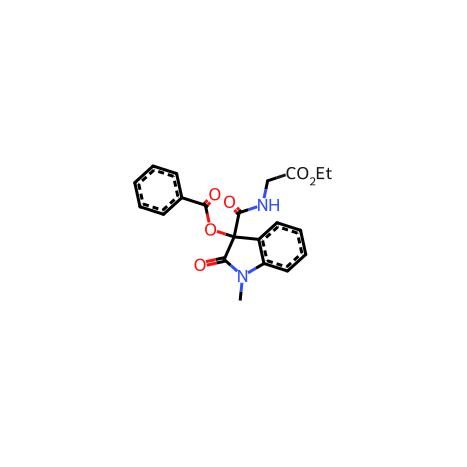 CCOC(=O)CNC(=O)C1(OC(=O)c2ccccc2)C(=O)N(C)c2ccccc21